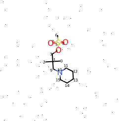 CC(C)(COS(C)(=O)=O)CN1CCCCC1